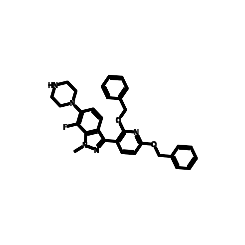 Cn1nc(-c2ccc(OCc3ccccc3)nc2OCc2ccccc2)c2ccc(N3CCNCC3)c(F)c21